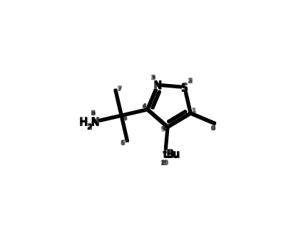 Cc1snc(C(C)(C)N)c1C(C)(C)C